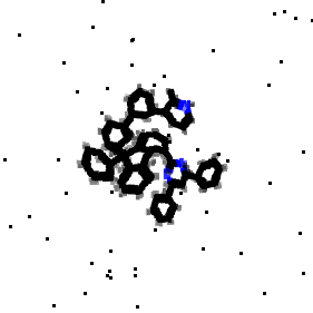 Cc1ncccc1-c1cccc(-c2cccc(C3(c4ccccc4)c4ccccc4-c4c(-c5nc(-c6ccccc6)cc(-c6ccccc6)n5)cccc43)c2)c1